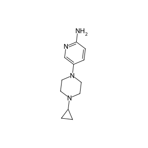 Nc1ccc(N2CCN(C3CC3)CC2)cn1